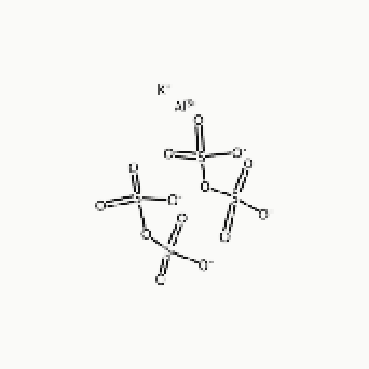 O=S(=O)([O-])OS(=O)(=O)[O-].O=S(=O)([O-])OS(=O)(=O)[O-].[Al+3].[K+]